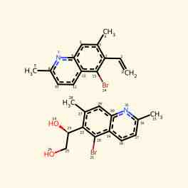 C=Cc1c(C)cc2nc(C)ccc2c1Br.Cc1ccc2c(Br)c([C@H](O)CO)c(C)cc2n1